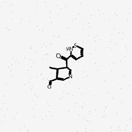 CC1[C](C(=O)C2=CC=CSN2)C=NC=C1[C]=O